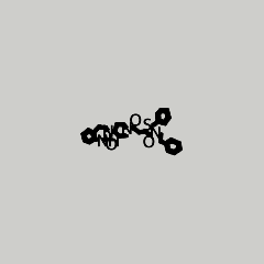 O=C(CC1SC(c2ccccc2)N(CCc2ccccc2)C1=O)N1CCC(N2CCc3ccccc3NC2=O)CC1